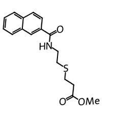 COC(=O)CCSCCNC(=O)c1ccc2ccccc2c1